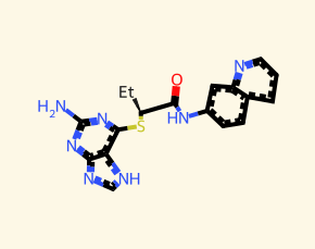 CC[C@H](Sc1nc(N)nc2nc[nH]c12)C(=O)Nc1ccc2cccnc2c1